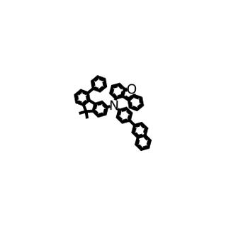 CC1(C)c2ccc(N(c3ccc(-c4ccc5ccccc5c4)cc3)c3cccc4oc5ccccc5c34)cc2-c2c(-c3ccccc3)cccc21